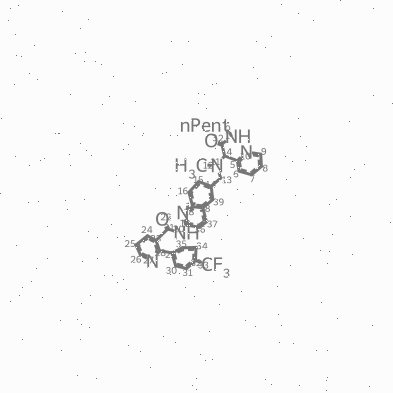 CCCCCNC(=O)C(c1ccccn1)N(C)Cc1ccc2nc(NC(=O)c3cccnc3-c3ccc(C(F)(F)F)cc3)ccc2c1